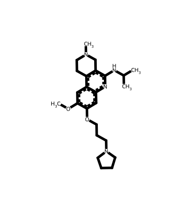 COc1cc2c3c(c(NC(C)C)nc2cc1OCCCN1CCCC1)CN(C)CC3